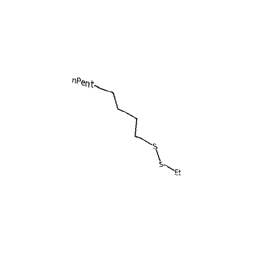 CCCCCCCCCSSCC